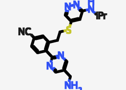 CC(C)Nc1cc(SCCc2cc(C#N)ccc2-c2ncc(CN)cn2)cnn1